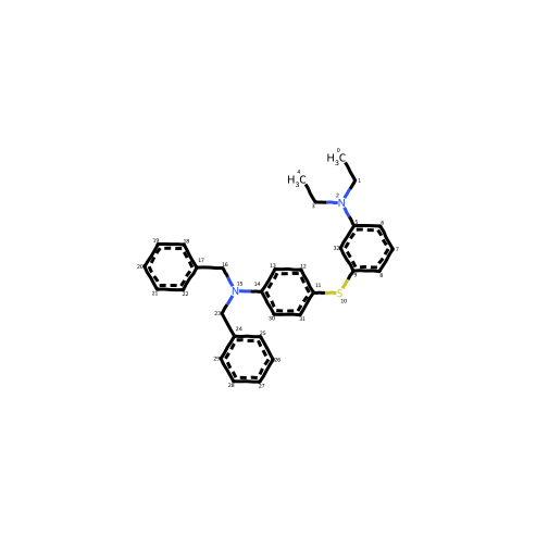 CCN(CC)c1cccc(Sc2ccc(N(Cc3ccccc3)Cc3ccccc3)cc2)c1